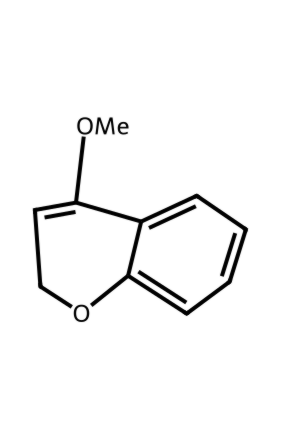 COC1=CCOc2ccccc21